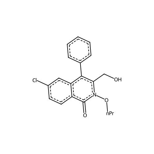 CCCOn1c(CO)c(-c2ccccc2)c2cc(Cl)ccc2c1=O